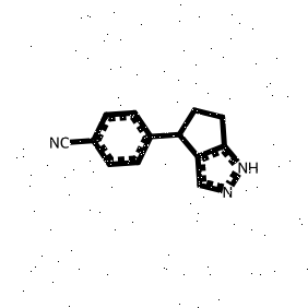 N#Cc1ccc(C2CCc3[nH]ncc32)cc1